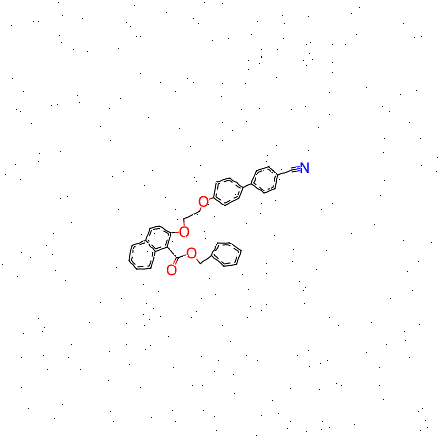 N#Cc1ccc(-c2ccc(OCCOc3ccc4ccccc4c3C(=O)OCc3ccccc3)cc2)cc1